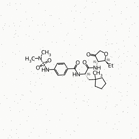 CC[C@@H]1OCC(=O)[C@H]1NC(=O)[C@H](CC1(C)CCCC1)NC(=O)c1ccc(NS(=O)(=O)N(C)C)cc1